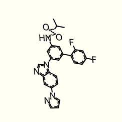 CC(C)S(=O)(=O)Nc1cc(-c2ccc(F)cc2F)cc(-n2cnc3cc(-n4cccn4)ccc32)c1